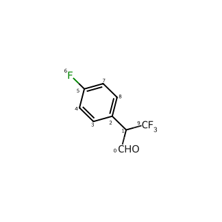 O=CC(c1ccc(F)cc1)C(F)(F)F